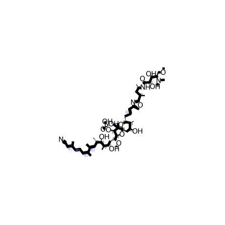 COC[C@H]([C@@H](O)[C@@H](O)C(=O)N[C@@H](C)C[C@@H](C)c1nc(/C=C/C[C@H]2O[C@]3(C[C@H](O)[C@H]2C)O[C@@H]([C@@H](C[C@@H](O)[C@@H](C)[C@@H](O)[C@@H](C)/C=C(C)/C(C)=C\C=C\C(C)=C\C#N)OC)[C@@H](OP(=O)(O)O)C3(C)C)co1)N(C)C